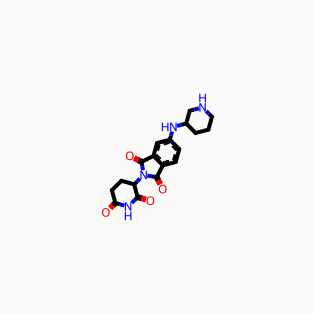 O=C1CCC(N2C(=O)c3ccc(NC4CCCNC4)cc3C2=O)C(=O)N1